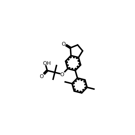 Cc1ccc(C)c(-c2cc3c(cc2OC(C)(C)C(=O)O)C(=O)CC3)c1